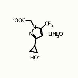 O.O=C([O-])Cn1nc(C2CC2)cc1C(F)(F)F.[Li+].[Li+].[OH-]